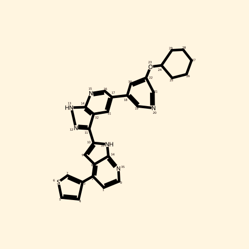 c1cc(-c2ccsc2)c2cc(-c3n[nH]c4ncc(-c5cncc(OC6CCCCC6)c5)cc34)[nH]c2n1